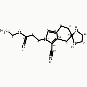 CCOC(=O)CCn1cc2c(c1C#N)CC1(CC2)OCCO1